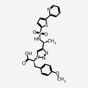 COc1ccc(C[C@@H](C(=O)O)n2cc([C@H](C)NS(=O)(=O)c3ccc(-c4ccccn4)s3)nn2)cc1